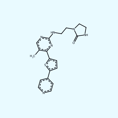 Cc1cnc(NCCN2CCNC2=O)nc1-c1ccc(-c2ccncc2)s1